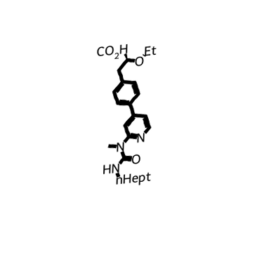 CCCCCCCNC(=O)N(C)c1cc(-c2ccc(C[C@H](OCC)C(=O)O)cc2)ccn1